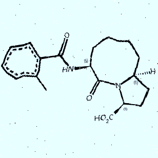 Cc1ccccc1C(=O)N[C@H]1CCCC[C@H]2CC[C@@H](C(=O)O)N2C1=O